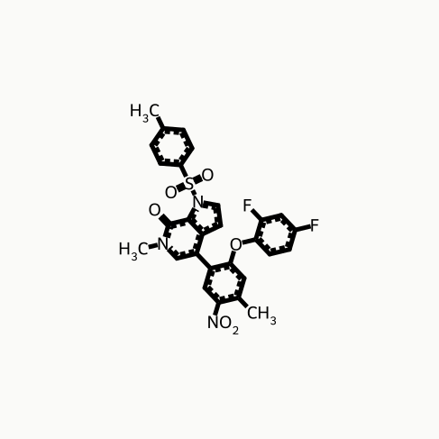 Cc1ccc(S(=O)(=O)n2ccc3c(-c4cc([N+](=O)[O-])c(C)cc4Oc4ccc(F)cc4F)cn(C)c(=O)c32)cc1